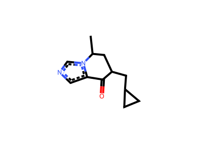 CC1CC(CC2CC2)C(=O)c2cncn21